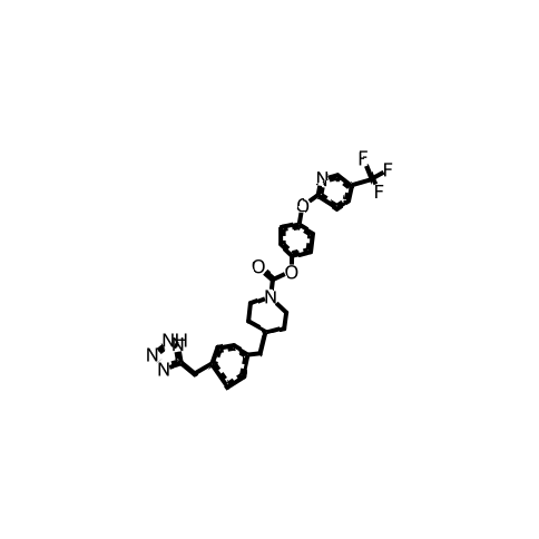 O=C(Oc1ccc(Oc2ccc(C(F)(F)F)cn2)cc1)N1CCC(Cc2ccc(Cc3nn[nH]n3)cc2)CC1